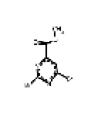 COC(=O)c1cc(Br)nc(Br)n1